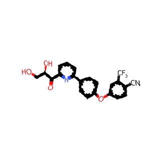 N#Cc1ccc(Oc2ccc(-c3cccc(C(=O)[C@H](O)CO)n3)cc2)cc1C(F)(F)F